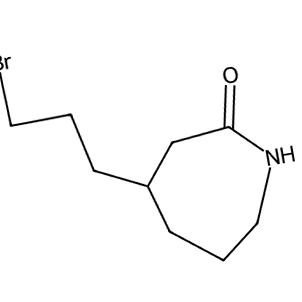 O=C1CC(CCCBr)CCCN1